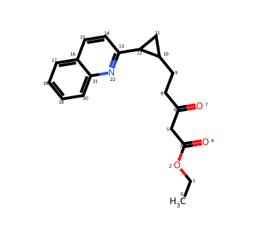 CCOC(=O)CC(=O)CCC1CC1c1ccc2ccccc2n1